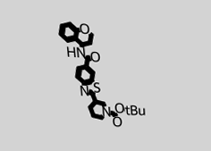 CC(C)(C)OC(=O)N1CCCC(c2nc3ccc(C(=O)NC4CCOc5ccccc54)cc3s2)C1